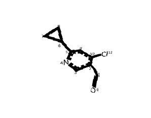 O=Cc1cnc(C2CC2)cc1Cl